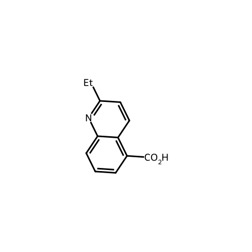 CCc1ccc2c(C(=O)O)cccc2n1